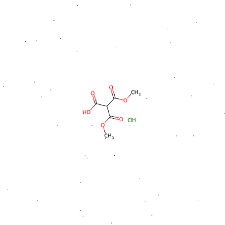 COC(=O)C(C(=O)O)C(=O)OC.Cl